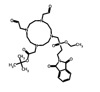 CCOP(=O)(CCN1C(=O)c2ccccc2C1=O)CN1CCN(CC=O)CCN(CC=O)CCN(CC(=O)OC(C)(C)C)CC1